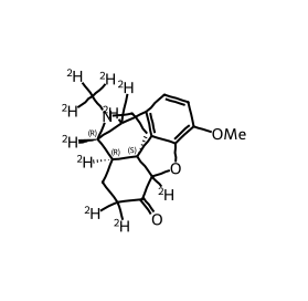 [2H]C1([2H])C[C@]2([2H])[C@@]34CCN(C([2H])([2H])[2H])[C@]2([2H])C([2H])([2H])c2ccc(OC)c(c23)OC4([2H])C1=O